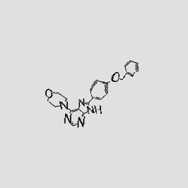 c1ccc(COc2ccc(-c3nc4c(N5CCOCC5)ncnc4[nH]3)cc2)cc1